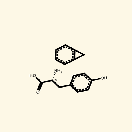 N[C@H](Cc1ccc(O)cc1)C(=O)O.c1ccc2c(c1)C2